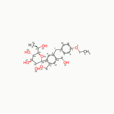 CCOc1ccc(Cc2cc3c(cc2CO)CO[C@]32O[C@H]([C@@H](C)O)[C@@H](O)[C@H](O)[C@H]2O)cc1